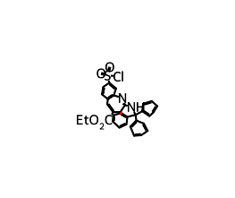 CCOC(=O)C1=Cc2ccc(S(=O)(=O)Cl)cc2N=C(NC(c2ccccc2)(c2ccccc2)c2ccccc2)C1